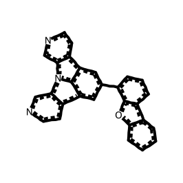 c1ccc2c(c1)oc1c(-c3cc4c5ccncc5n5c6cnccc6c(c3)c45)cccc12